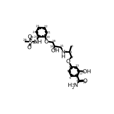 CC(COc1ccc(C(N)=O)c(O)c1)NCC(O)COc1ccccc1NS(C)(=O)=O